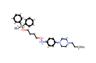 COCCN1CCN(c2ccc(NOCCCCO[Si](c3ccccc3)(c3ccccc3)C(C)(C)C)cc2)CC1